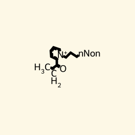 C=C(C)C(=O)c1cccc[n+]1CCCCCCCCCCCC